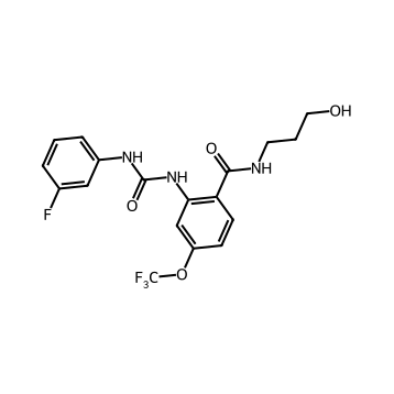 O=C(Nc1cccc(F)c1)Nc1cc(OC(F)(F)F)ccc1C(=O)NCCCO